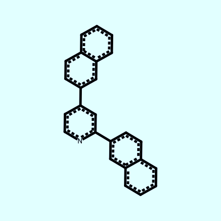 c1ccc2cc(-c3ccnc(-c4ccc5ccccc5c4)c3)ccc2c1